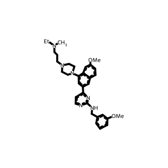 CCN(C)CCCN1CCN(c2cc(-c3ccnc(NCc4cccc(OC)c4)n3)cc3ccc(OC)cc23)CC1